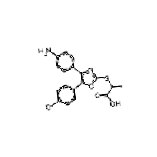 CC(Sc1nc(-c2ccc(N)cc2)c(-c2ccc(Cl)cc2)o1)C(=O)O